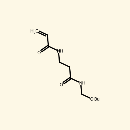 C=CC(=O)NCCC(=O)NCOCC(C)C